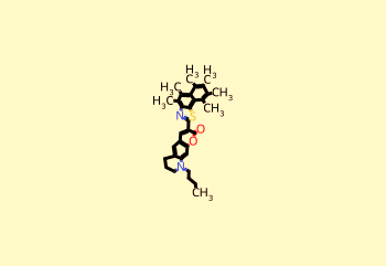 CCCCN1CCCc2cc3cc(-c4nc5c(C)c(C)c6c(C)c(C)c(C)c(C)c6c5s4)c(=O)oc3cc21